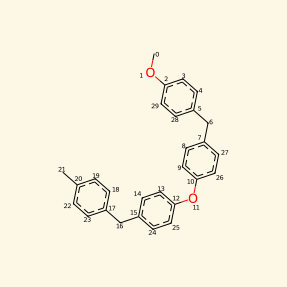 COc1ccc(Cc2ccc(Oc3ccc(Cc4ccc(C)cc4)cc3)cc2)cc1